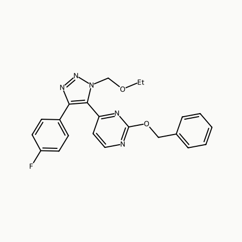 CCOCn1nnc(-c2ccc(F)cc2)c1-c1ccnc(OCc2ccccc2)n1